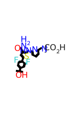 CN(Cc1cccc(Nc2sc(-c3c(F)cc(C(C)(C)O)cc3F)cc2C(N)=O)n1)C(=O)O